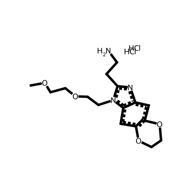 COCCOCCn1c(CCN)nc2cc3c(cc21)OCCO3.Cl.Cl